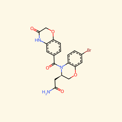 NC(=O)C[C@@H]1COc2cc(Br)ccc2N1C(=O)c1ccc2c(c1)NC(=O)CO2